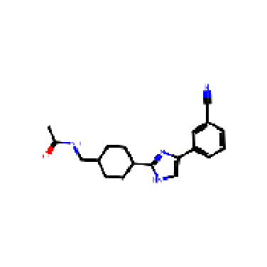 CC(=O)NCC1CCC(c2nc(-c3cccc(C#N)c3)c[nH]2)CC1